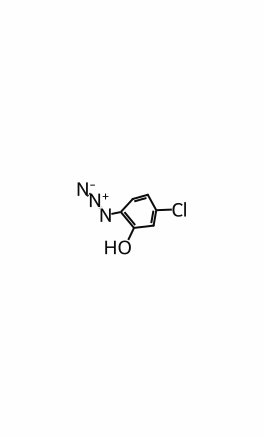 [N-]=[N+]=Nc1ccc(Cl)cc1O